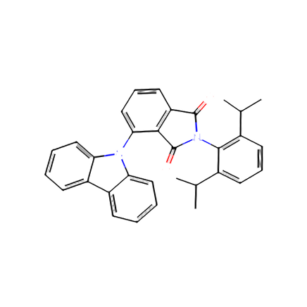 CC(C)c1cccc(C(C)C)c1N1C(=O)c2cccc(-n3c4ccccc4c4ccccc43)c2C1=O